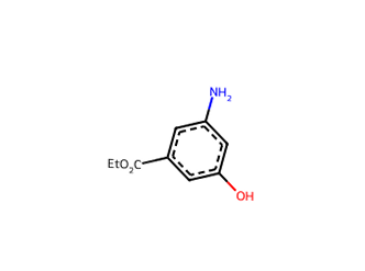 CCOC(=O)c1cc(N)cc(O)c1